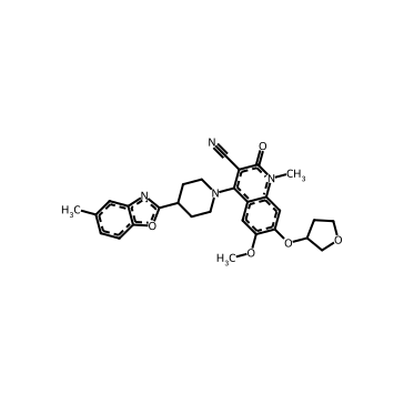 COc1cc2c(N3CCC(c4nc5cc(C)ccc5o4)CC3)c(C#N)c(=O)n(C)c2cc1OC1CCOC1